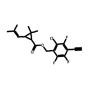 C#Cc1c(F)c(F)c(COC(=O)C2C(C=C(C)C)C2(C)C)c(Cl)c1F